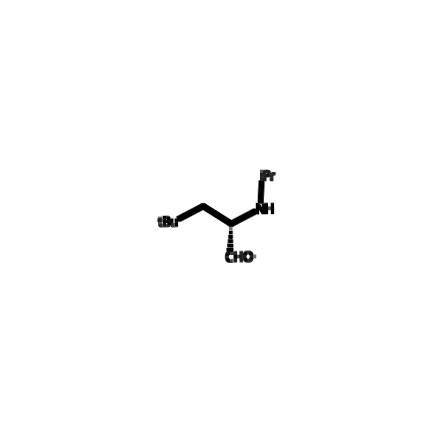 CC(C)N[C@H]([C]=O)CC(C)(C)C